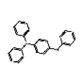 c1ccc([N]c2ccc(N(c3ccccc3)c3ccccc3)cc2)cc1